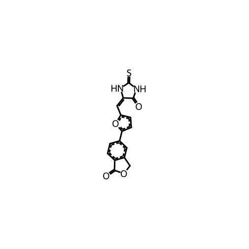 O=C1NC(=S)N/C1=C/c1ccc(-c2ccc3c(c2)COC3=O)o1